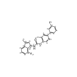 Cc1nc(-c2cccc(F)c2)ncc1OC(=O)Nn1cc(C)c2cccc(F)c21